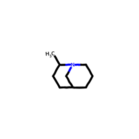 CC1CCC2CCCN1C2